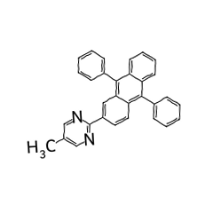 Cc1cnc(-c2ccc3c(-c4ccccc4)c4ccccc4c(-c4ccccc4)c3c2)nc1